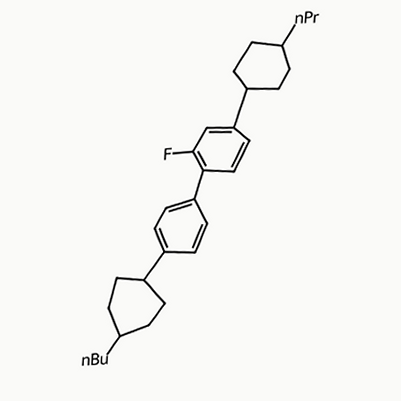 CCCCC1CCC(c2ccc(-c3ccc(C4CCC(CCC)CC4)cc3F)cc2)CC1